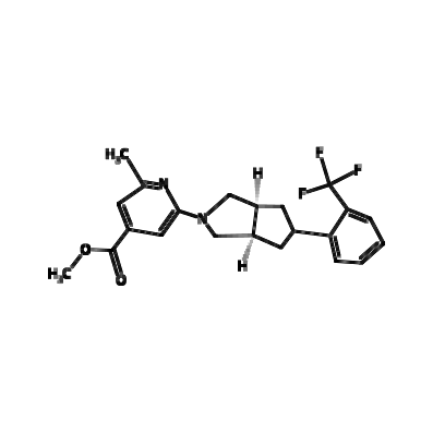 COC(=O)c1cc(C)nc(N2C[C@H]3CC(c4ccccc4C(F)(F)F)C[C@H]3C2)c1